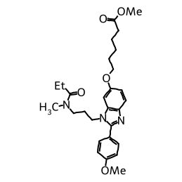 CCC(=O)N(C)CCCn1c(-c2ccc(OC)cc2)nc2ccc(OCCCCCC(=O)OC)cc21